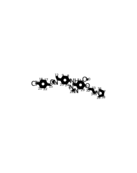 COc1cc2c(Nc3ccc(C(C)=NOCc4ccc(Cl)cc4)cc3)ncnc2cc1OCCCN1CCCC1